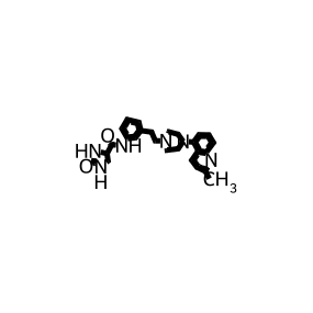 Cc1ccc2c(N3CCN(CCc4cccc(NC(=O)C5CNC(=O)N5)c4)CC3)cccc2n1